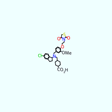 COc1cc(CN(CC2CCC(C(=O)O)CC2)C2CCc3cc(Cl)ccc32)ccc1OCCN1C(=O)CSC1=O